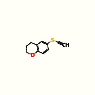 C#CSc1ccc2c(c1)CCCO2